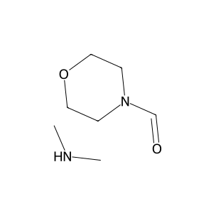 CNC.O=CN1CCOCC1